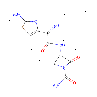 N=C(C(=O)N[C@H]1CN(C(N)=O)C1=O)c1csc(N)n1